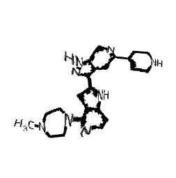 CN1CCN(c2nccc3[nH]c(-c4n[nH]c5cnc(C6=CCNCC6)cc45)cc23)CC1